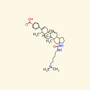 CC1C(c2ccc(C(=O)O)cc2)=CCC2(C)C1CCC1(C)C2CCC2C3CCCC3(NC(=O)NCCCCCN(C)C)CC[C@]21C